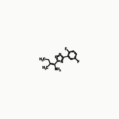 CC/C(C)=C(/N)c1nc(-c2cc(F)ccc2F)no1